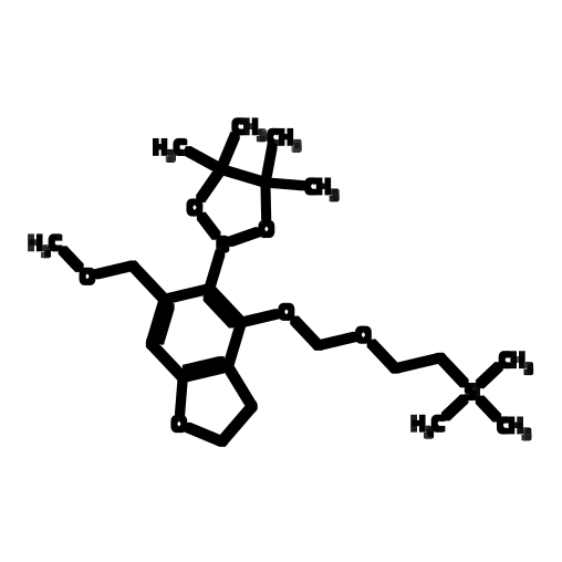 COCc1cc2c(c(OCOCC[Si](C)(C)C)c1B1OC(C)(C)C(C)(C)O1)CCO2